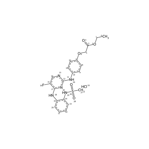 CCOC(=O)COc1ccc(Nc2ncc(F)c(Nc3ccccc3NS(C)(=O)=O)n2)cc1.Cl